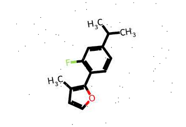 Cc1ccoc1-c1ccc(C(C)C)cc1F